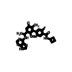 COc1c(C(C)Nc2ncnc3[nH]cnc23)cc(Cl)c(C)c1-c1ccc(C(=O)NC2CCC2)c(F)c1